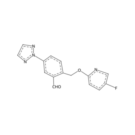 O=Cc1cc(-n2nccn2)ccc1COc1ccc(F)cn1